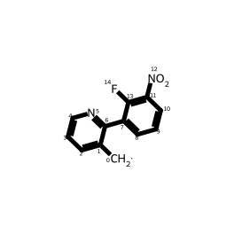 [CH2]c1cccnc1-c1cccc([N+](=O)[O-])c1F